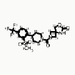 CS(=O)(=O)c1cc(C(F)(F)F)ccc1C1CCN(C(=O)N2CC3(COC(=O)N3)C2)CC1